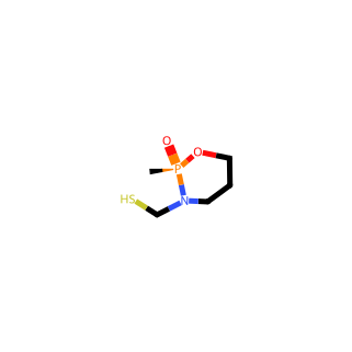 C[P@@]1(=O)OCCCN1CS